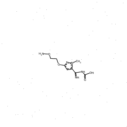 Cn1nc(OCCON)cc1C(=N)NC(=O)O